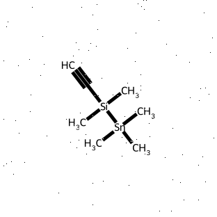 C#C[Si](C)(C)[Sn]([CH3])([CH3])[CH3]